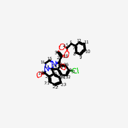 O=C(C1=COC(Cc2ccccc2)O1)N1CCN2C(=O)c3ccccc3C12c1ccc(Cl)cc1